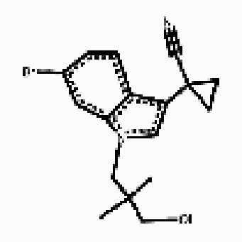 CC(C)(CO)Cn1cc(C2(C#N)CC2)c2ccc(Br)cc21